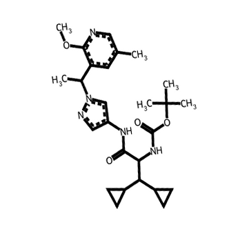 COc1ncc(C)cc1C(C)n1cc(NC(=O)C(NC(=O)OC(C)(C)C)C(C2CC2)C2CC2)cn1